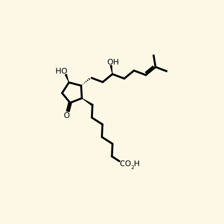 CC(C)=CCC[C@H](O)CC[C@H]1[C@H](O)CC(=O)[C@@H]1CCCCCCC(=O)O